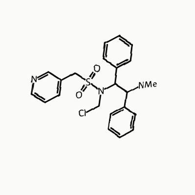 CNC(c1ccccc1)C(c1ccccc1)N(CCl)S(=O)(=O)Cc1cccnc1